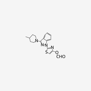 CC1CCN(c2nn(-c3nc(OC=O)cs3)c3ccccc23)CC1